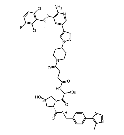 Cc1ncsc1-c1ccc(CNC(=O)[C@@H]2C[C@@H](O)CN2C(=O)C(NC(=O)CCC(=O)N2CCC(n3cc(-c4cnc(N)c(O[C@H](C)c5c(Cl)ccc(F)c5Cl)c4)cn3)CC2)C(C)(C)C)cc1